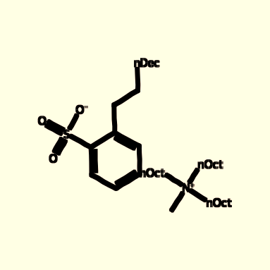 CCCCCCCCCCCCc1ccccc1S(=O)(=O)[O-].CCCCCCCC[N+](C)(CCCCCCCC)CCCCCCCC